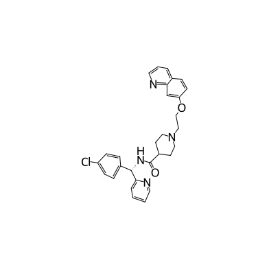 O=C(N[C@@H](c1ccc(Cl)cc1)c1ccccn1)C1CCN(CCOc2ccc3cccnc3c2)CC1